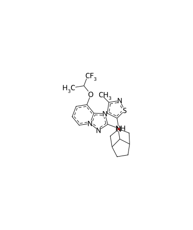 Cc1cc(N2CC3CCC(C2)C3Nc2nc3c(OC(C)C(F)(F)F)cccn3n2)sn1